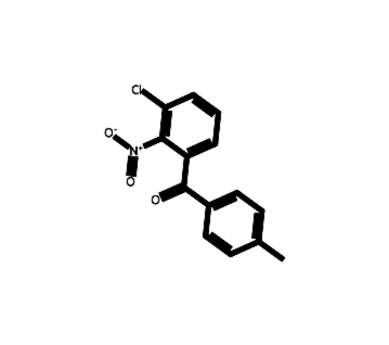 Cc1ccc(C(=O)c2cccc(Cl)c2[N+](=O)[O-])cc1